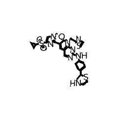 Cn1cc(S(=O)(=O)C2CC2)nc1-c1cc2cnc(Nc3ccc(C4CNCCS4)cc3)nc2n(Cc2nccs2)c1=O